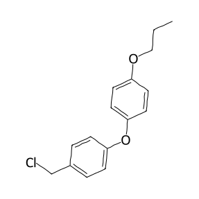 CCCOc1ccc(Oc2ccc(CCl)cc2)cc1